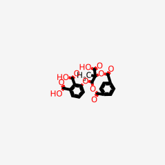 CC1(C(=O)O)OC(=O)c2ccc(cc2)C(=O)OC1Oc1cccc(C(=O)O)c1C(=O)O